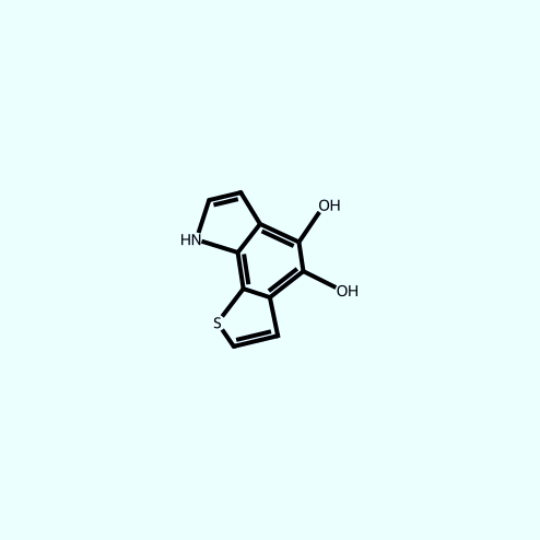 Oc1c(O)c2ccsc2c2[nH]ccc12